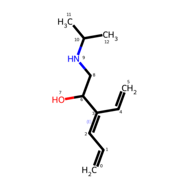 C=C/C=C(\C=C)C(O)CNC(C)C